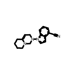 N#Cc1cccc2c1ccn2N1CC=C2CCCCN2C1